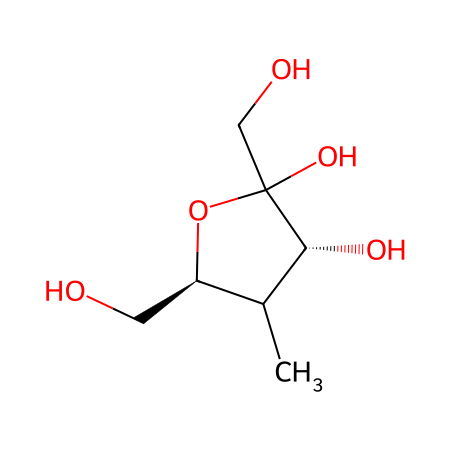 CC1[C@@H](O)C(O)(CO)O[C@@H]1CO